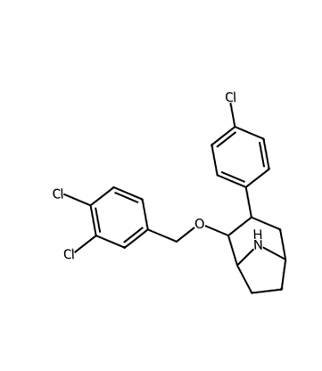 Clc1ccc(C2CC3CCC(N3)C2OCc2ccc(Cl)c(Cl)c2)cc1